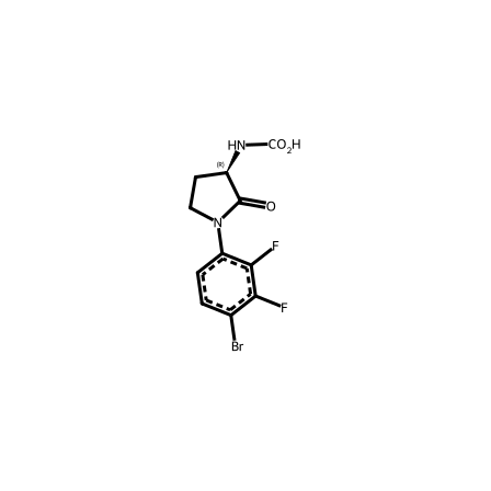 O=C(O)N[C@@H]1CCN(c2ccc(Br)c(F)c2F)C1=O